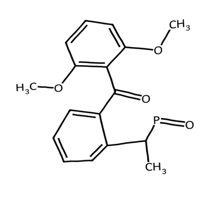 COc1cccc(OC)c1C(=O)c1ccccc1C(C)P=O